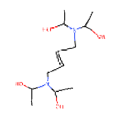 CC(O)N(CC=CCN(C(C)O)C(C)O)C(C)O